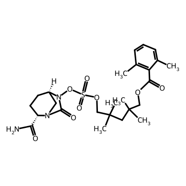 Cc1cccc(C)c1C(=O)OCC(C)(C)CC(C)(C)COS(=O)(=O)ON1C(=O)N2C[C@H]1CC[C@H]2C(N)=O